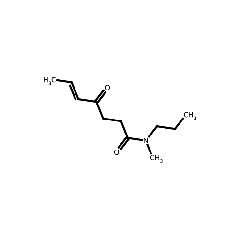 C/C=C/C(=O)CCC(=O)N(C)CCC